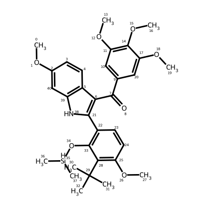 COc1ccc2c(C(=O)c3cc(OC)c(OC)c(OC)c3)c(-c3ccc(OC)c(C(C)(C)C)c3O[SiH](C)C)[nH]c2c1